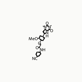 COc1cc(-c2cc3c([nH]2)c(=O)n(C)c(=O)n3C)ccc1OCC(=O)Nc1ccc(C#N)cc1